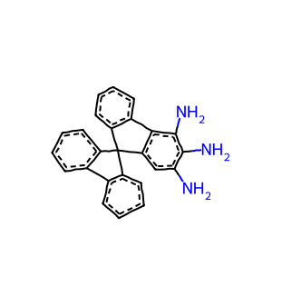 Nc1cc2c(c(N)c1N)-c1ccccc1C21c2ccccc2-c2ccccc21